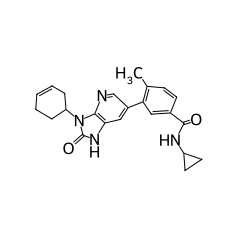 Cc1ccc(C(=O)NC2CC2)cc1-c1cnc2c(c1)[nH]c(=O)n2C1CC=CCC1